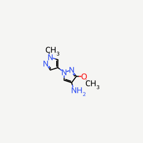 COc1nn(-c2cnn(C)c2)cc1N